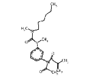 C=C(C)C(=O)N(C(C)=O)c1cccc(N(C)C(=O)N(C)CCCCCC)c1